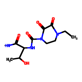 CCN1CCN(C(=O)NC(C([NH])=O)C(C)O)C(=O)C1=O